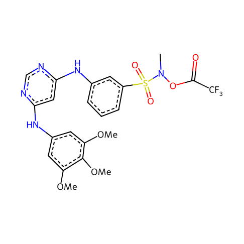 COc1cc(Nc2cc(Nc3cccc(S(=O)(=O)N(C)OC(=O)C(F)(F)F)c3)ncn2)cc(OC)c1OC